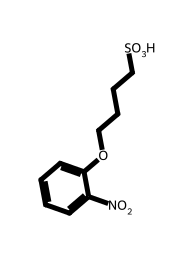 O=[N+]([O-])c1ccccc1OCCCCS(=O)(=O)O